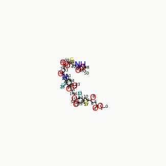 CCOC(=O)CCC(=O)c1cc2c(F)c(OCCCOc3c(OC)cc4c(c3F)CN(C(=O)CCC(=O)OC3(C)SC3CNC(=O)OC(C)(C)C)C4)c(OC)cc2s1